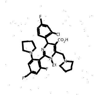 CCN1C(c2c(F)cc(F)cc2N2CCCC2)=NC(c2ccc(F)cc2Cl)C(C(=O)O)=C1CN1CCCC1